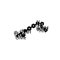 COC(=O)NC(C(=O)N1CCC[C@H]1c1ncc(-c2ccc(-c3ccc(-c4cnc([C@@H]5CCCN5C(=O)[C@H](NC5=NCCN5)C(C)C)[nH]4)cc3)cc2)[nH]1)C(C)C